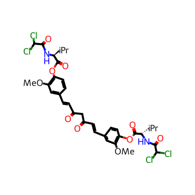 COc1cc(/C=C/C(=O)CC(=O)/C=C/c2ccc(OC(=O)[C@@H](NC(=O)C(Cl)Cl)C(C)C)c(OC)c2)ccc1OC(=O)[C@@H](NC(=O)C(Cl)Cl)C(C)C